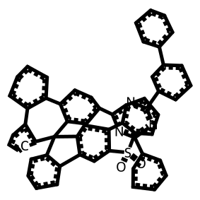 O=S1(=O)c2ccccc2-c2cc3c(cc21)-c1ccccc1C31c2ccccc2-c2ccccc2-c2ccc(-c3nc(-c4ccccc4)nc(-c4cccc(-c5ccccc5)c4)n3)cc21